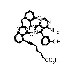 Nc1ncnc2c1c(-c1cccc(O)c1)nn2Cc1c(Cl)cccc1Cc1nc2cccc(C#CCCCCC(=O)O)c2c(=O)[nH]1